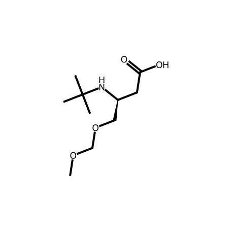 COCOC[C@H](CC(=O)O)NC(C)(C)C